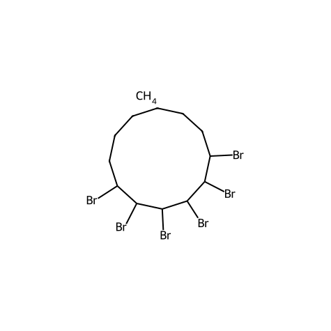 BrC1CCCCCCC(Br)C(Br)C(Br)C(Br)C1Br.C